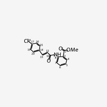 COC(=O)c1ccccc1NC(=O)C=Cc1ccc(Cl)cc1